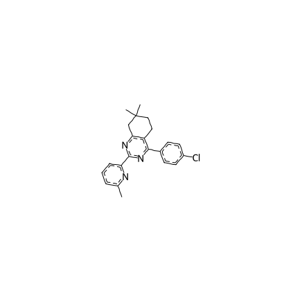 Cc1cccc(-c2nc3c(c(-c4ccc(Cl)cc4)n2)CCC(C)(C)C3)n1